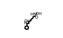 O=C(CCCCCCC(=NO)C1CCCCC1)NO